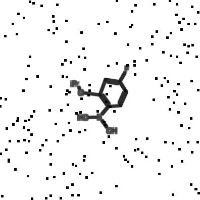 CC(C)Oc1cc(F)ccc1B(O)O